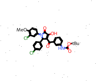 COc1ccc(N2C(=O)C(O)=C(C(=O)c3cccc(NC(=O)OC(C)(C)C)c3)C2c2ccc(Cl)cc2)cc1Cl